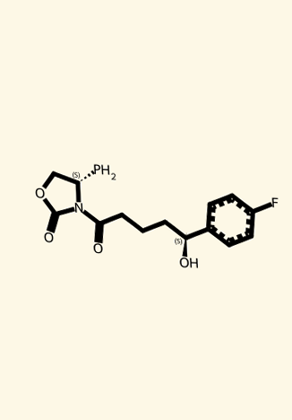 O=C(CCC[C@H](O)c1ccc(F)cc1)N1C(=O)OC[C@@H]1P